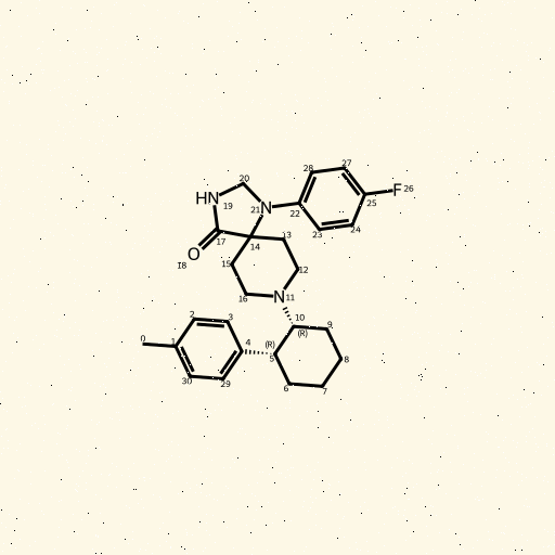 Cc1ccc([C@H]2CCCC[C@H]2N2CCC3(CC2)C(=O)NCN3c2ccc(F)cc2)cc1